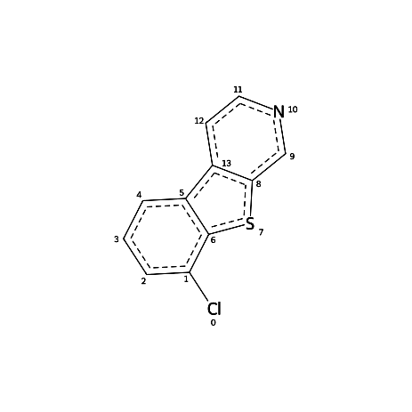 Clc1cccc2c1sc1cnccc12